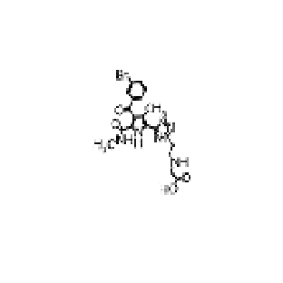 CNC(=O)c1[nH]c(-c2nnn(CCNCC(=O)O)n2)c(C)c1C(=O)c1cccc(Br)c1